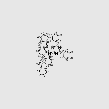 CC1(C)c2ccccc2-c2ccc3c(c21)c1ccc2c(c1n3-c1nc(-c3ccccc3)nc(-c3ccccc3)n1)Sc1ccccc1S2